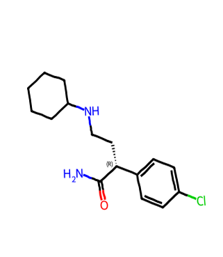 NC(=O)[C@H](CCNC1CCCCC1)c1ccc(Cl)cc1